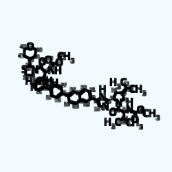 COC(=O)N[C@H](C(=O)N1CC(=C(C)C)C[C@H]1c1ncc(-c2ccc3cc(-c4ccc(-c5cnc([C@@H]6CSC(C7CCOCC7)N6C(=O)[C@@H](NC(=O)OC)C(C)C)[nH]5)cc4)ccc3c2)[nH]1)C(C)C